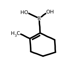 CC1=C(B(O)O)CCCC1